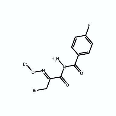 CCON=C(CBr)C(=O)N(N)C(=O)c1ccc(F)cc1